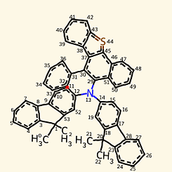 CC1(C)c2ccccc2-c2ccc(N(c3ccc4c(c3)C(C)(C)c3ccccc3-4)c3c(-c4ccccc4)c4c5ccccc5sc4c4ccccc34)cc21